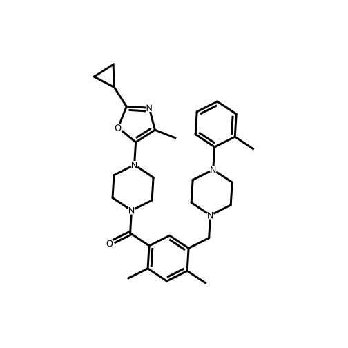 Cc1cc(C)c(C(=O)N2CCN(c3oc(C4CC4)nc3C)CC2)cc1CN1CCN(c2ccccc2C)CC1